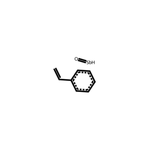 C=Cc1ccccc1.[O]=[SbH]